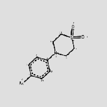 CC(=O)c1ccc(N2CCS(=O)(=O)CC2)cc1